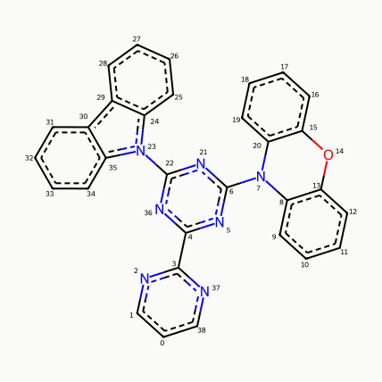 c1cnc(-c2nc(N3c4ccccc4Oc4ccccc43)nc(-n3c4ccccc4c4ccccc43)n2)nc1